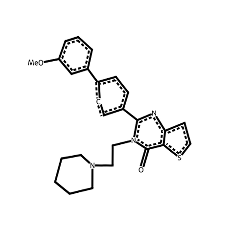 COc1cccc(-c2ccc(-c3nc4ccsc4c(=O)n3CCN3CCCCC3)cc2)c1